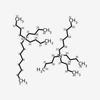 CCCCCCCC[N+](CCCC)(CCCC)CCCC.CCCCCCC[N+](CCCC)(CCCC)CCCC